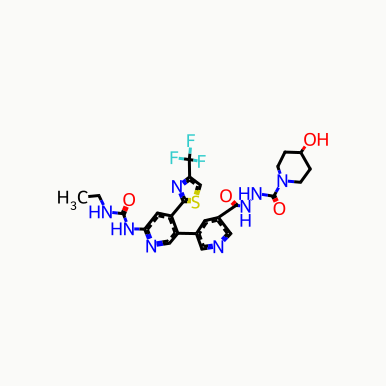 CCNC(=O)Nc1cc(-c2nc(C(F)(F)F)cs2)c(-c2cncc(C(=O)NNC(=O)N3CCC(O)CC3)c2)cn1